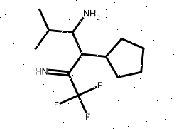 CC(C)C(N)C(C(=N)C(F)(F)F)C1CCCC1